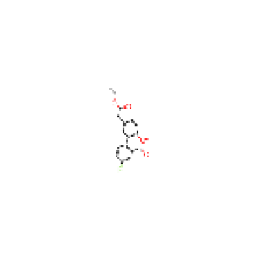 CCOC(=O)Cc1ccc(OC)c(-c2ccc(F)cc2C=O)c1